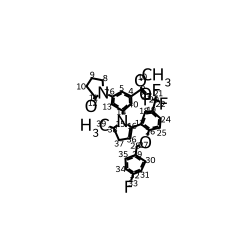 COC(=O)c1cc(N2CCCC2=O)cc(N2C(c3cc(C(F)(F)F)ccc3OCc3ccc(F)cc3)=CCC2C)c1